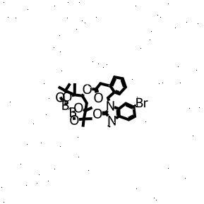 Cn1c(=O)n(Cc2ccccc2CC(=O)OC2CC3(C)OB(OC3(C)C)B3OC(C)(C)C2(C)O3)c2cc(Br)ccc21